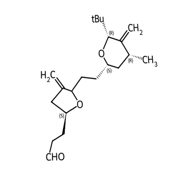 C=C1C[C@H](CCC=O)OC1CC[C@H]1C[C@@H](C)C(=C)[C@@H](C(C)(C)C)O1